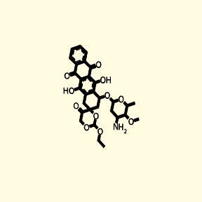 CCOC1OCC(=O)C2(Cc3c(O)c4c(c(O)c3C(OC3CC(N)C(OC)C(C)O3)C2)C(=O)c2ccccc2C4=O)O1